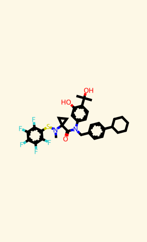 CN(Sc1c(F)c(F)c(F)c(F)c1F)C1(C(=O)N(Cc2ccc(C3CCCCC3)cc2)c2ccc(C(C)(C)O)c(O)c2)CC1